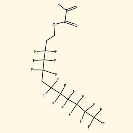 C=C(C)C(=O)OCCC(F)(F)C(F)(F)C(F)(F)CC(F)(F)C(F)(F)C(F)(F)C(F)(F)C(F)(F)C(F)(F)F